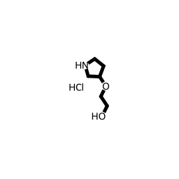 Cl.OCCOC1CCNC1